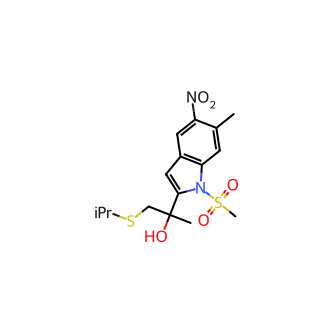 Cc1cc2c(cc1[N+](=O)[O-])cc(C(C)(O)CSC(C)C)n2S(C)(=O)=O